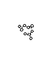 c1ccc(-c2nc(-c3ccccc3)nc(-c3cccc(-n4c5ccccc5c5cc(-c6cccc(C7c8ccccc8-c8ccccc87)c6)ccc54)c3)n2)cc1